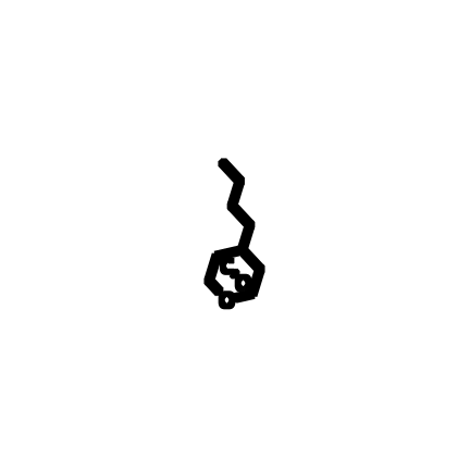 CCCCC1CC2OCC1CO2